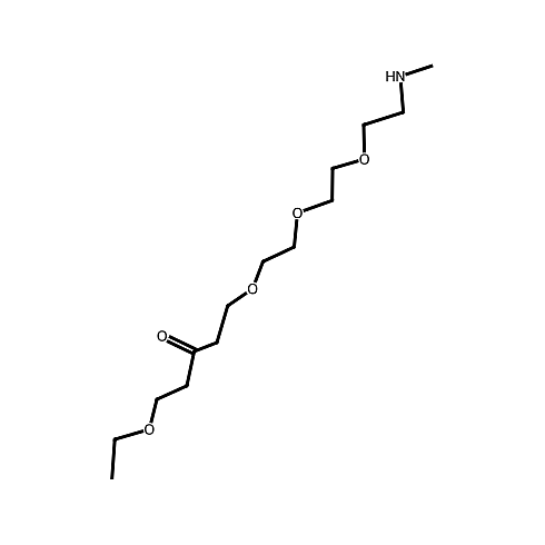 CCOCCC(=O)CCOCCOCCOCCNC